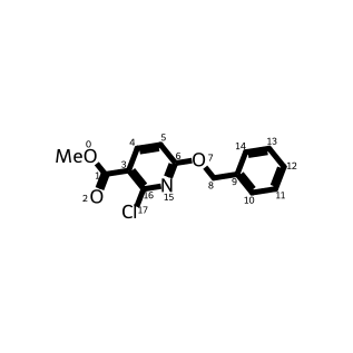 COC(=O)c1ccc(OCc2ccccc2)nc1Cl